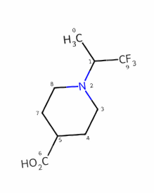 CC(N1CCC(C(=O)O)CC1)C(F)(F)F